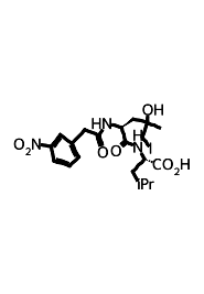 CC(C)C[C@H](NC(=O)[C@H](CC(C)(O)CI)NC(=O)Cc1cccc([N+](=O)[O-])c1)C(=O)O